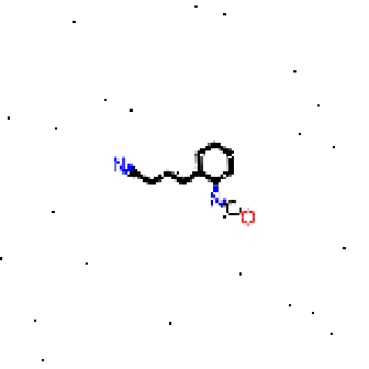 N#CCCCC1CCCCC1N=C=O